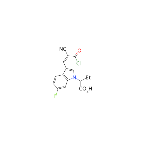 CCC(C(=O)O)n1cc(C=C(C#N)C(=O)Cl)c2ccc(F)cc21